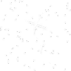 CC[C@@H](C)CCOS(N)(=O)=O